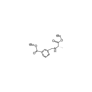 C[C@H](NCc1cccc(C(=O)OC(C)(C)C)c1)C(=O)OC(C)(C)C